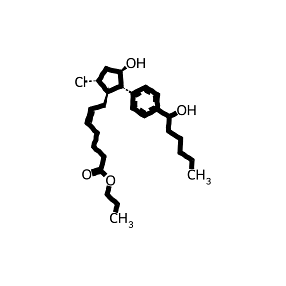 CCCCCC(O)c1ccc([C@@H]2[C@@H](C/C=C\CCCC(=O)OCCC)[C@H](Cl)C[C@H]2O)cc1